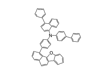 c1ccc(-c2ccc(N(c3ccc(-c4cccc5ccc6c7ccccc7oc6c45)cc3)c3ccc(-c4ccccc4)c4ccccc34)cc2)cc1